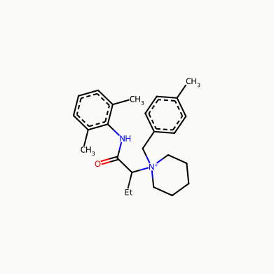 CCC(C(=O)Nc1c(C)cccc1C)[N+]1(Cc2ccc(C)cc2)CCCCC1